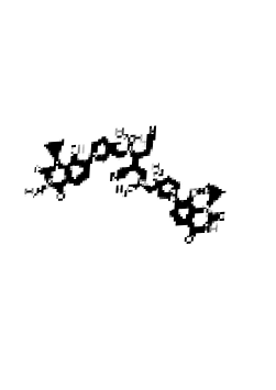 COc1c(N2CCC(C)(CN(C)CC(C#N)C(CC#N)N(C)CC3(C)CCN(c4ccc5c(=O)n(N)c(=O)n(C6CC6)c5c4C)C3)C2)ccc2c(=O)[nH]c(=O)n(C3CC3)c12